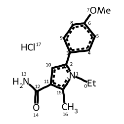 CCn1c(-c2ccc(OC)cc2)cc(C(N)=O)c1C.Cl